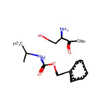 CC(NC(=O)OCc1ccccc1)C(=O)O.COC(=O)C(N)CO